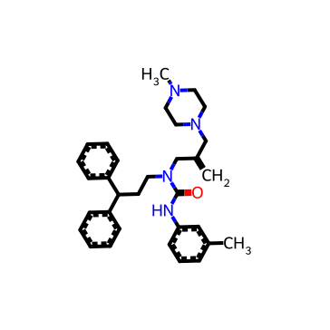 C=C(CN1CCN(C)CC1)CN(CCC(c1ccccc1)c1ccccc1)C(=O)Nc1cccc(C)c1